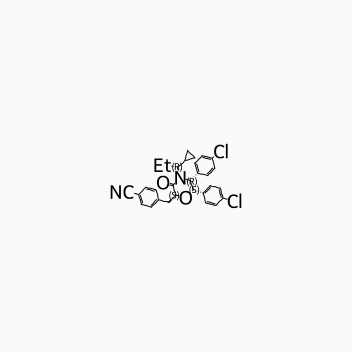 CC[C@H](C1CC1)N1C(=O)[C@H](Cc2ccc(C#N)cc2)O[C@@H](c2ccc(Cl)cc2)[C@H]1c1ccc(Cl)cc1